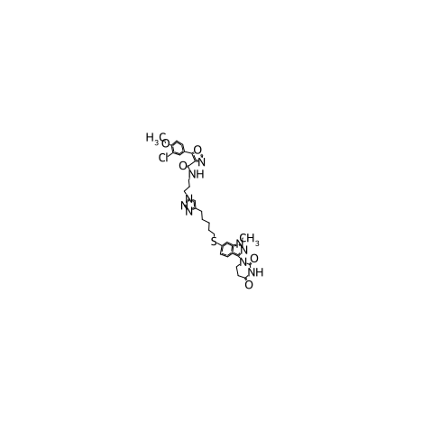 COc1ccc(-c2ocnc2C(=O)NCCCn2cc(CCCCCSc3ccc4c(N5CCC(=O)NC5=O)nn(C)c4c3)nn2)cc1Cl